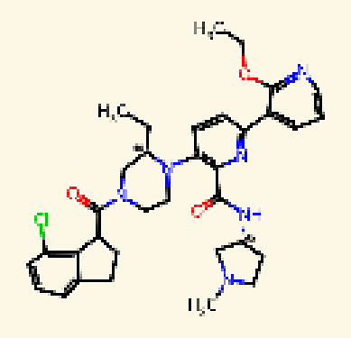 CCOc1ncccc1-c1ccc(N2CCN(C(=O)C3CCc4cccc(Cl)c43)C[C@H]2CC)c(C(=O)N[C@@H]2CCN(C)C2)n1